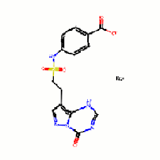 O=C([O-])c1ccc(NS(=O)(=O)CCc2cnn3c(=O)nc[nH]c23)cc1.[Na+]